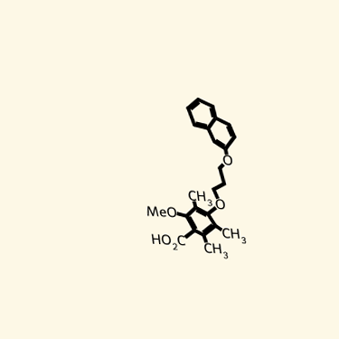 COc1c(C)c(OCCCOc2ccc3ccccc3c2)c(C)c(C)c1C(=O)O